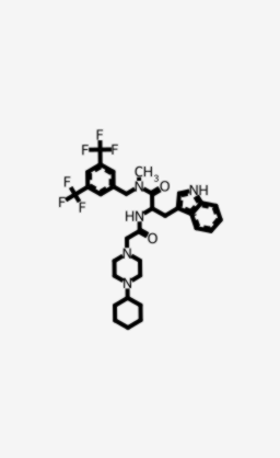 CN(Cc1cc(C(F)(F)F)cc(C(F)(F)F)c1)C(=O)C(Cc1c[nH]c2ccccc12)NC(=O)CN1CCN(C2CCCCC2)CC1